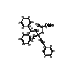 COC(=O)C[C@](C#Cc1ccccc1)(N=C(c1ccccc1)c1ccccc1)C(F)(F)F